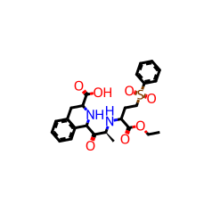 CCOC(=O)C(CCS(=O)(=O)c1ccccc1)N[C@@H](C)C(=O)C1NC(C(=O)O)Cc2ccccc21